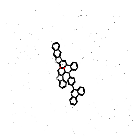 c1ccc(N(c2ccc(-c3cc4ccccc4c4ccccc34)cc2)c2cccc3oc4ccccc4c23)c(-c2ccc3oc4cc5ccccc5cc4c3c2)c1